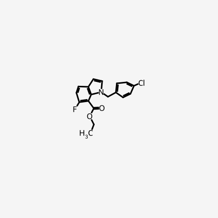 CCOC(=O)c1c(F)ccc2ccn(Cc3ccc(Cl)cc3)c12